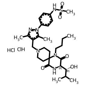 CCCCN1C(=O)[C@@H]([C@H](O)C(C)C)NC(=O)C12CCN(Cc1c(C)nn(-c3ccc(NS(C)(=O)=O)cc3)c1C)CC2.Cl.Cl